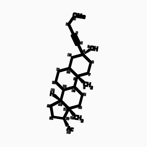 COCC#C[C@@]1(O)CC[C@@]2(C)C(CCC3C2CC[C@]2(C)[C@@H](C(C)=O)CC[C@H]32)C1